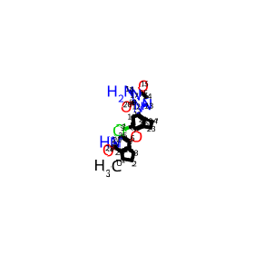 CC1CCc2c(Oc3c(Cl)cc(-n4ncc(=O)n(N)c4=O)c4c3CC4)c[nH]c(=O)c21